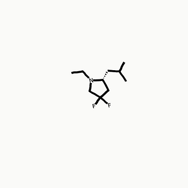 CCN1CC(F)(F)C[C@H]1CC(C)C